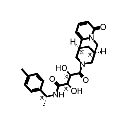 Cc1ccc([C@@H](C)NC(=O)[C@H](O)[C@@H](O)C(=O)N2C[C@H]3C[C@@H](C2)c2cccc(=O)n2C3)cc1